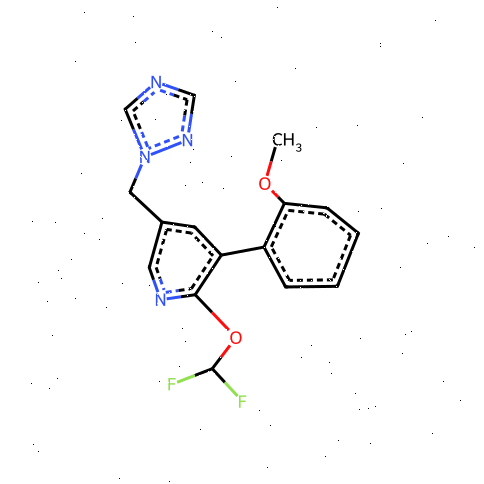 COc1ccccc1-c1cc(Cn2cncn2)cnc1OC(F)F